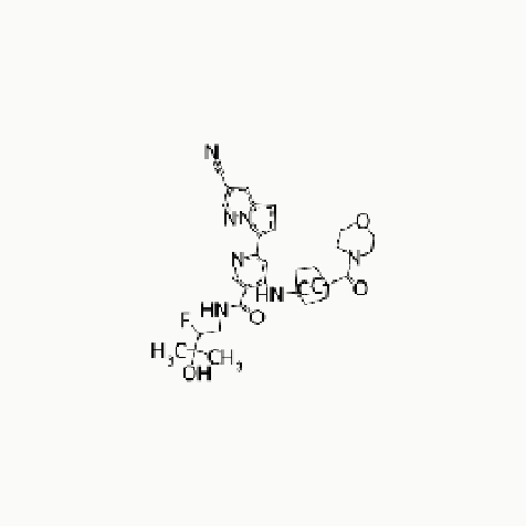 CC(C)(O)C(F)CNC(=O)c1cnc(-c2ccc3cc(C#N)cnn23)cc1NC12CCC(C(=O)N3CCOCC3)(CC1)CC2